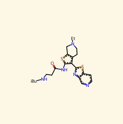 CCC(C)NCCC(=O)Nc1sc2c(c1-c1nc3cnccc3s1)CCN(CC)C2